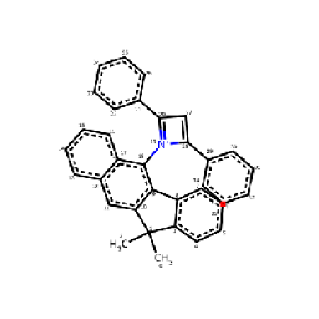 CC1(C)c2ccccc2-c2c1cc1ccccc1c2[N+]1=C(c2ccccc2)C=C1c1ccccc1